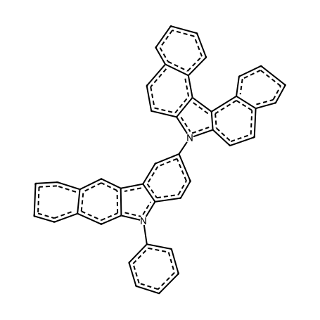 c1ccc(-n2c3ccc(-n4c5ccc6ccccc6c5c5c6ccccc6ccc54)cc3c3cc4ccccc4cc32)cc1